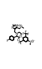 C[C@@H](OC1OCCN(Cc2nn[nH]c2CN(C)C)C1c1ccc(F)cc1)c1cc([S+](C)[O-])cc(C(F)(F)F)c1